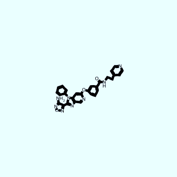 Nc1nonc1-c1nc2cnc(Oc3cccc(C(=O)NCCc4ccncc4)c3)cc2n1-c1ccccc1